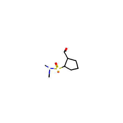 CN(C)S(=O)(=O)C1CCCC1C=O